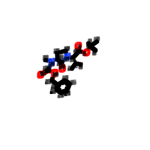 CC(C)[C@@H](C(=O)OC(C)(C)C)N1CC[C@@H](N(C)C(=O)OCc2ccccc2)C1=O